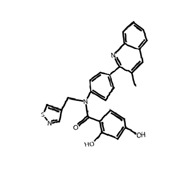 Cc1cc2ccccc2nc1-c1ccc(N(Cc2cnsc2)C(=O)c2ccc(O)cc2O)cc1